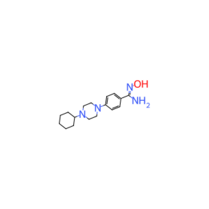 NC(=NO)c1ccc(N2CCN(C3CCCCC3)CC2)cc1